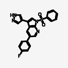 O=S(=O)(c1ccccc1)n1cc(-c2cn[nH]c2)c2cc(-c3ccc(F)cc3)cnc21